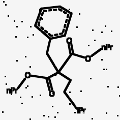 CCCOC(=O)C(CCC(C)C)(Cc1ccccc1)C(=O)OCCC